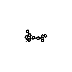 c1ccc(-c2ccc(N(c3ccc(-c4ccc(-n5c6ccccc6c6c7ccccc7ccc65)cc4)cc3)c3cccc4sc5ccccc5c34)cc2)cc1